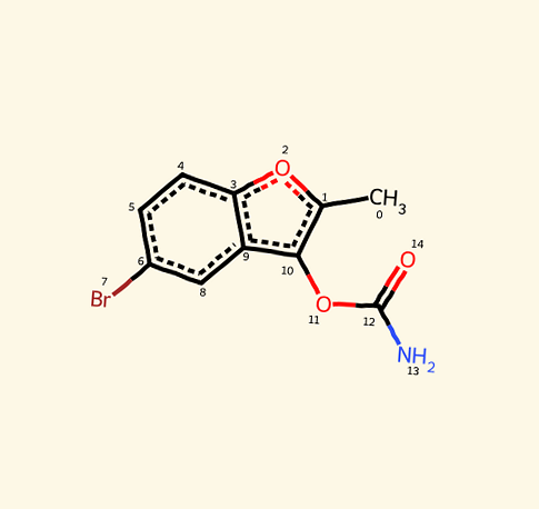 Cc1oc2ccc(Br)cc2c1OC(N)=O